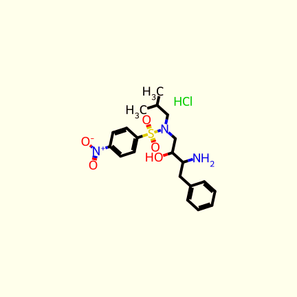 CC(C)CN(CC(O)C(N)Cc1ccccc1)S(=O)(=O)c1ccc([N+](=O)[O-])cc1.Cl